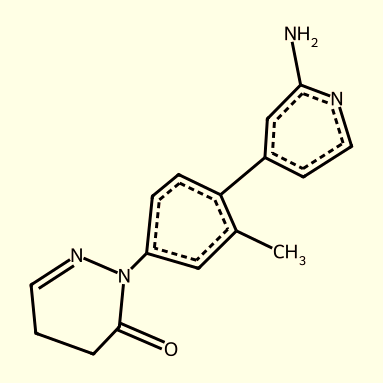 Cc1cc(N2N=CCCC2=O)ccc1-c1ccnc(N)c1